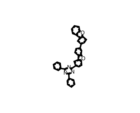 c1ccc(-c2nc(-c3ccccc3)nc(-c3ccc4oc5cc(-c6ccc7oc8ccccc8c7c6)ccc5c4c3)n2)cc1